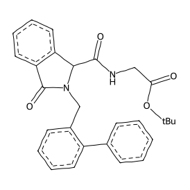 CC(C)(C)OC(=O)CNC(=O)C1c2ccccc2C(=O)N1Cc1ccccc1-c1ccccc1